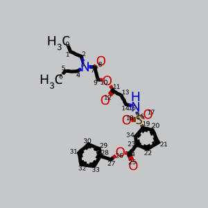 CCCN(CCC)C(=O)COC(=O)CCNS(=O)(=O)c1cccc(C(=O)OCc2ccccc2)c1